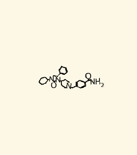 NC(=O)c1ccc(CN2CCC(N3C(=O)N(C4CCCCC4)C[C@H]3c3ccccc3)CC2)cc1